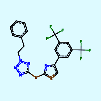 FC(F)(F)c1cc(-c2csc(Sc3nnn(CCc4ccccc4)n3)n2)cc(C(F)(F)F)c1